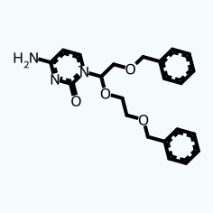 Nc1ccn(C(COCc2ccccc2)OCCOCc2ccccc2)c(=O)n1